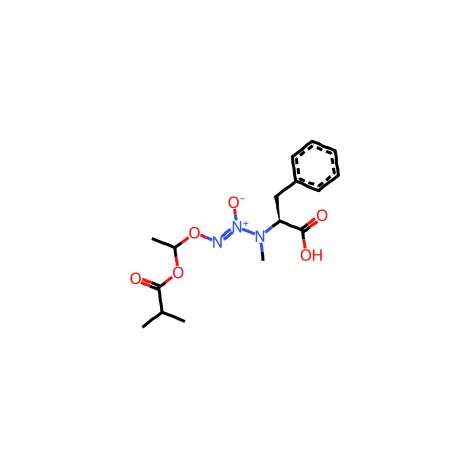 CC(ON=[N+]([O-])N(C)[C@@H](Cc1ccccc1)C(=O)O)OC(=O)C(C)C